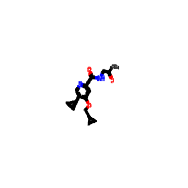 CC(C)(C)C(=O)CNC(=O)c1cc(OCC2CC2)c(C2CC2)cn1